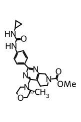 COC(=O)N1CCc2c(nc(-c3ccc(NC(=O)NC4CC4)cc3)nc2N2CCOC[C@@H]2C)C1